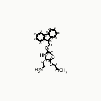 C=CCOC(=O)[C@H](CCN)NC(=O)OCC1c2ccccc2-c2ccccc21